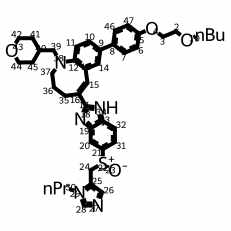 CCCCOCCOc1ccc(-c2ccc3c(c2)/C=C(/c2nc4cc([S@+]([O-])Cc5cncn5CCC)ccc4[nH]2)CCCN3CC2CCOCC2)cc1